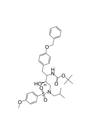 COc1ccc(S(=O)(=O)N(CC(C)C)C[C@@H](O)C(Cc2ccc(OCc3ccccc3)cc2)NC(=O)OC(C)(C)C)cc1